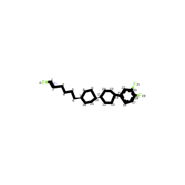 F/C=C/CCCC[C@H]1CC[C@H](C2CCC(c3ccc(F)c(F)c3)CC2)CC1